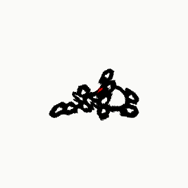 c1ccc(-c2ccc(N(c3cccc4c3Oc3ccccc3Cc3ccccc3-c3ccccc3C4)c3ccc(-c4ccc5ccccc5c4)c4sc5ccccc5c34)cc2)cc1